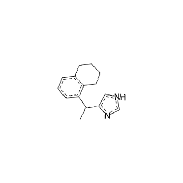 CC(c1c[nH]cn1)c1cccc2c1CCCC2